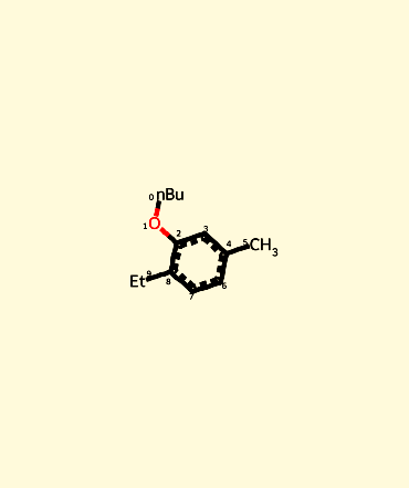 CCCCOc1cc(C)ccc1CC